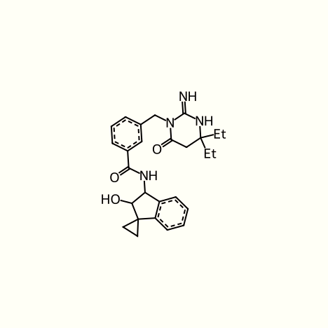 CCC1(CC)CC(=O)N(Cc2cccc(C(=O)NC3c4ccccc4C4(CC4)C3O)c2)C(=N)N1